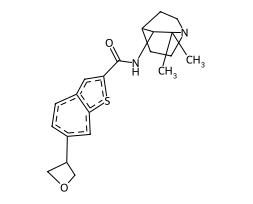 CC1(C)C(NC(=O)c2cc3ccc(C4COC4)cc3s2)C2CCN1CC2